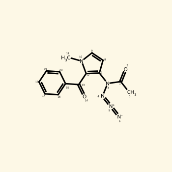 CC(=O)N(N=[N+]=[N-])c1ccn(C)c1C(=O)c1ccccc1